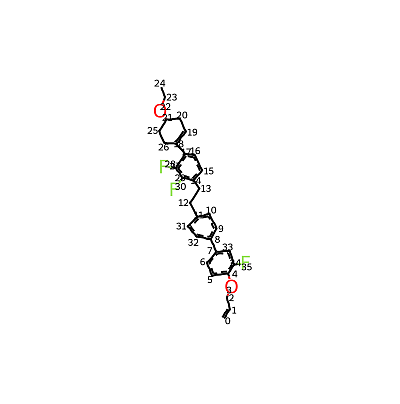 C=CCOc1ccc(-c2ccc(CCc3ccc(C4=CCC(OCC)CC4)c(F)c3F)cc2)cc1F